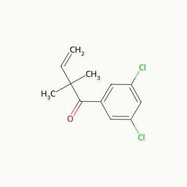 C=CC(C)(C)C(=O)c1cc(Cl)cc(Cl)c1